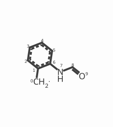 [CH2]c1ccccc1NC=O